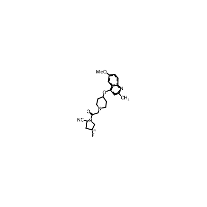 COc1ccc2nc(C)cc(OC3CCN(CC(=O)N4C[C@@H](F)CC4C#N)CC3)c2c1